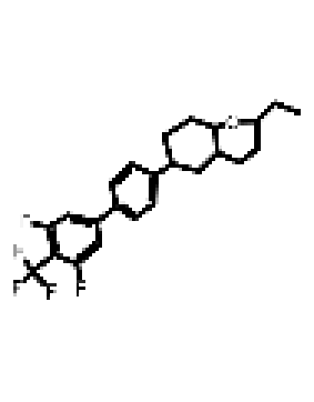 CCC1CCC2CC(c3ccc(-c4cc(F)c(C(F)(F)F)c(F)c4)cc3)CCC2C1